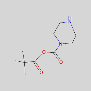 CC(C)(C)C(=O)OC(=O)N1CCNCC1